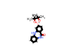 CC1(C)OB(c2ccc3c(c2)Nc2ccccc2NC3=O)OC1(C)C